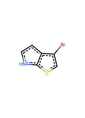 Brc1csc2[nH]ccc12